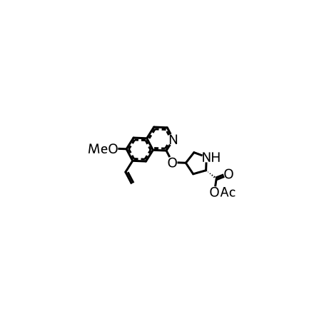 C=Cc1cc2c(OC3CN[C@H](C(=O)OC(C)=O)C3)nccc2cc1OC